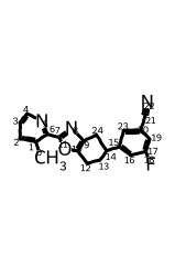 Cc1cccnc1-c1nc2c(o1)CCC(c1cc(F)cc(C#N)c1)C2